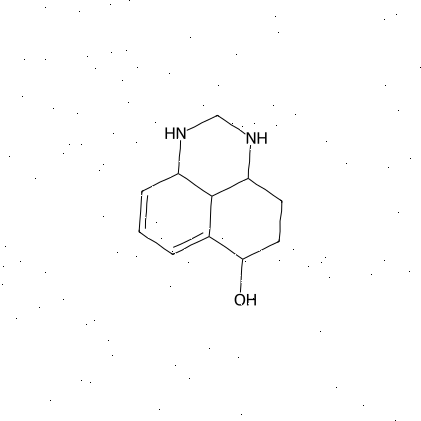 OC1CCC2NCNC3C=CC=C1C32